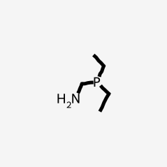 CCP(CC)CN